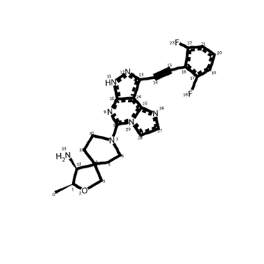 C[C@@H]1OCC2(CCN(c3nc4[nH]nc(C#Cc5c(F)cccc5F)c4c4nccn34)CC2)[C@@H]1N